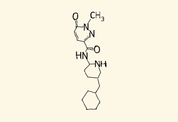 Cn1nc(C(=O)NC2CCC(CC3CCCCC3)CN2)ccc1=O